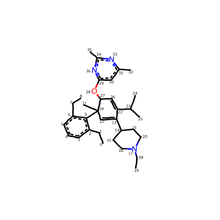 CCc1cccc(CC)c1C1(C)C=C(C2CCN(CC)CC2)C(C(C)C)=CC1Oc1cc(C)nc(C)n1